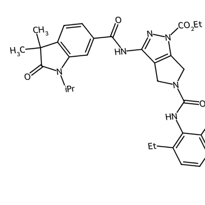 CCOC(=O)n1nc(NC(=O)c2ccc3c(c2)N(C(C)C)C(=O)C3(C)C)c2c1CN(C(=O)Nc1c(CC)cccc1CC)C2